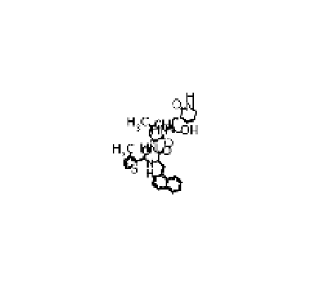 Cc1ccsc1C(=O)NC(Cc1cccc2ccccc12)C(=O)N[C@@H](CC(C)C)C(=O)N[C@H](CO)C[C@@H]1CCCNC1=O